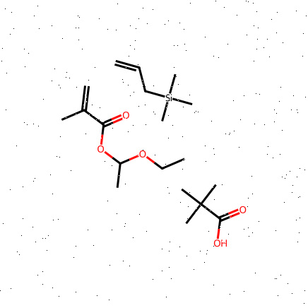 C=C(C)C(=O)OC(C)OCC.C=CC[Si](C)(C)C.CC(C)(C)C(=O)O